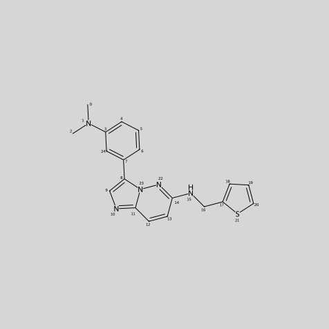 CN(C)c1cccc(-c2cnc3ccc(NCc4cccs4)nn23)c1